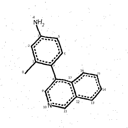 Cc1cc(N)ccc1-c1cncc2ccccc12